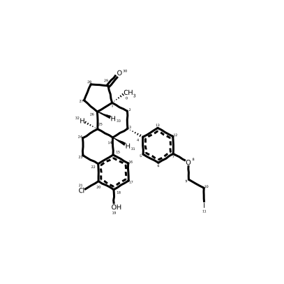 C[C@]12C[C@H](c3ccc(OCCI)cc3)[C@@H]3c4ccc(O)c(Cl)c4CC[C@H]3[C@@H]1CCC2=O